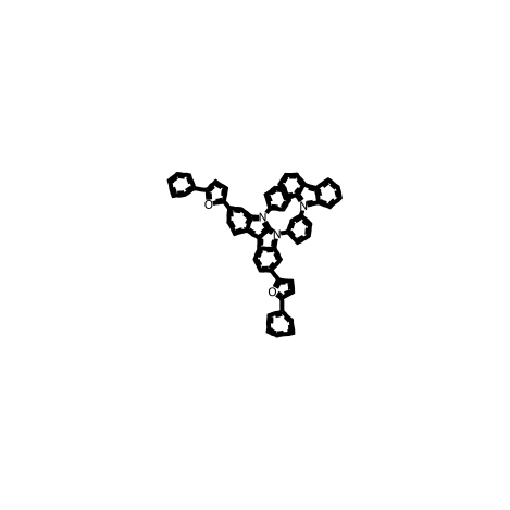 c1ccc(-c2ccc(-c3ccc4c5c6ccc(-c7ccc(-c8ccccc8)o7)cc6n(-c6cccc(-n7c8ccccc8c8ccccc87)c6)c5n(-c5ccccc5)c4c3)o2)cc1